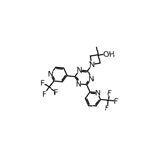 CC1(O)CN(c2nc(-c3ccnc(C(F)(F)F)c3)nc(-c3cccc(C(F)(F)F)n3)n2)C1